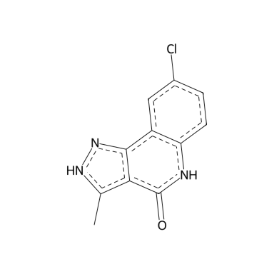 Cc1[nH]nc2c1c(=O)[nH]c1ccc(Cl)cc12